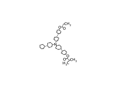 C=CC(=O)Oc1ccc(-c2ccc(N(c3ccc(-c4ccccc4)cc3)c3ccc(-c4ccc(OC(=O)C(=C)C)cc4)cc3)cc2)cc1